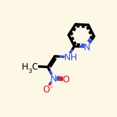 CC(=CNc1ccccn1)[N+](=O)[O-]